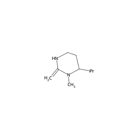 C=C1NCCC(C(C)C)N1C